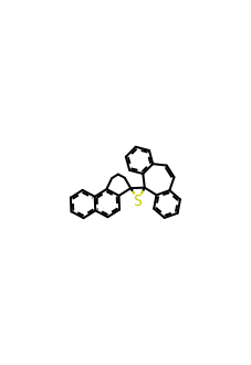 C1=Cc2ccccc2C2(SC23CCCc2c3ccc3ccccc23)c2ccccc21